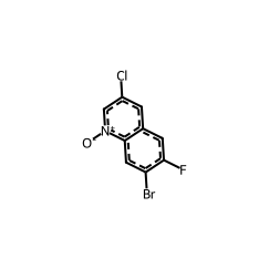 [O-][n+]1cc(Cl)cc2cc(F)c(Br)cc21